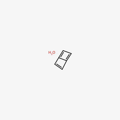 O.c1cc2ccc1-2